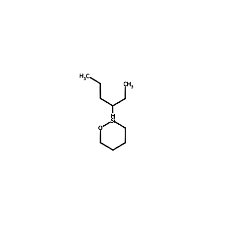 CCCC(CC)[SiH]1CCCCO1